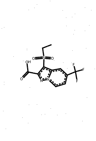 CCS(=O)(=O)c1c(C(=O)O)nn2ccc(C(F)(F)F)cc12